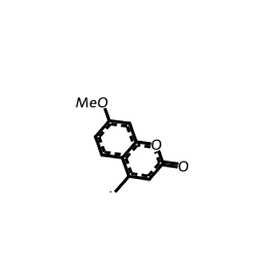 [CH2]c1cc(=O)oc2cc(OC)ccc12